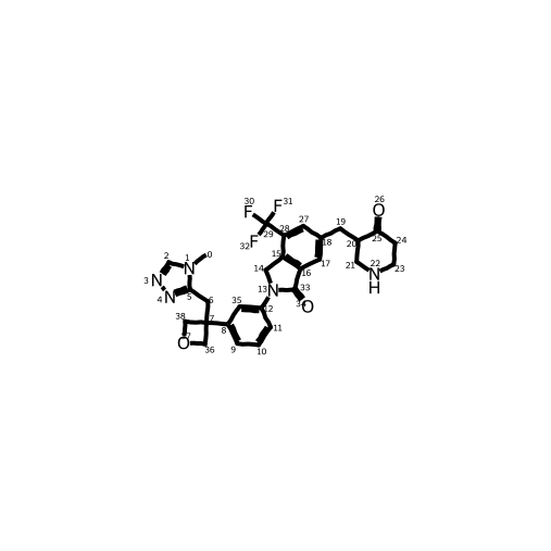 Cn1cnnc1CC1(c2cccc(N3Cc4c(cc(CC5CNCCC5=O)cc4C(F)(F)F)C3=O)c2)COC1